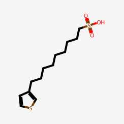 O=S(=O)(O)CCCCCCCCCc1ccsc1